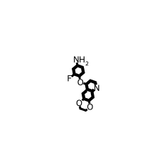 Nc1ccc(Oc2ccnc3cc4c(cc23)OCCO4)c(F)c1